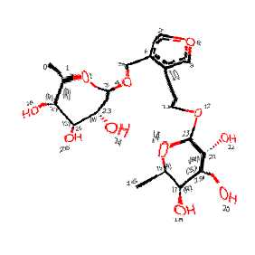 C[C@H]1OC(OCc2cocc2COC2O[C@H](C)[C@H](O)[C@H](O)[C@H]2O)[C@H](O)[C@@H](O)[C@H]1O